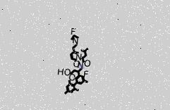 Cc1cc(C)c(-c2cc(C)c(F)c(C(/C=N/C(=O)C(CC(C)C)n3cc(CCN4CC(F)C4)ccc3=O)CC(=O)O)c2)c(C)c1